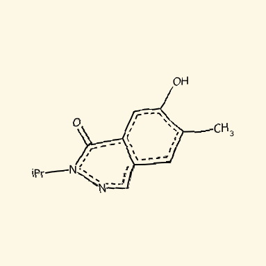 Cc1cc2cnn(C(C)C)c(=O)c2cc1O